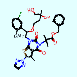 COc1ccc(F)cc1[C@H](Cn1c(=O)n(C(C)(C)C(=O)OCc2ccccc2)c(=O)c2c(C)c(-n3nccn3)sc21)OCCC(C)(O)CO